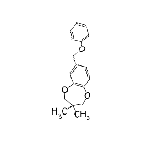 CC1(C)COc2ccc(COc3ccccc3)cc2OC1